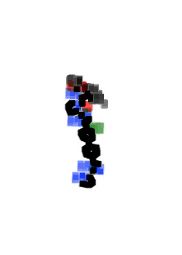 COC(=O)N[C@H](C(=O)N1CCC[C@H]1c1ncc(-c2ccc(-c3ccc(-c4cnc([C@@H]5CCCN5)[nH]4)cc3)cc2)[nH]1)C(C)C.Cl